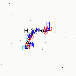 C[C@H]1CC(CN2CCC(c3ccc4c(c3)CN(C3CCC(=O)NC3=O)C4=O)CC2)CCN1c1ccc(-n2cnc3ccc(Oc4c(F)ccc(NS(=O)(=O)N5CC[C@@H](F)C5)c4C#N)cc3c2=O)cc1